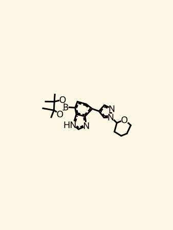 CC1(C)OB(c2ccc(-c3cnn(C4CCCCO4)c3)c3nc[nH]c23)OC1(C)C